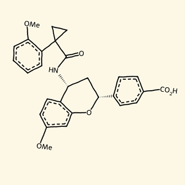 COc1ccc2c(c1)O[C@@H](c1ccc(C(=O)O)cc1)C[C@H]2NC(=O)C1(c2ccccc2OC)CC1